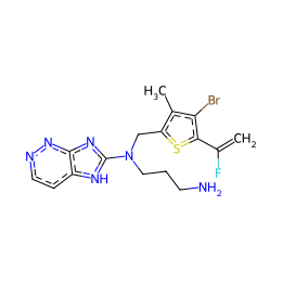 C=C(F)c1sc(CN(CCCN)c2nc3nnccc3[nH]2)c(C)c1Br